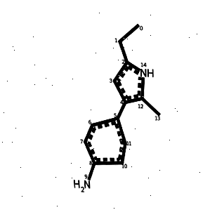 CCc1cc(-c2ccc(N)cc2)c(C)[nH]1